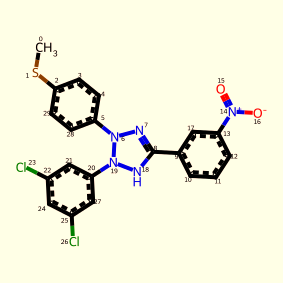 CSc1ccc(N2N=C(c3cccc([N+](=O)[O-])c3)NN2c2cc(Cl)cc(Cl)c2)cc1